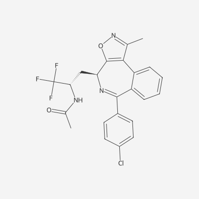 CC(=O)N[C@@H](C[C@@H]1N=C(c2ccc(Cl)cc2)c2ccccc2-c2c(C)noc21)C(F)(F)F